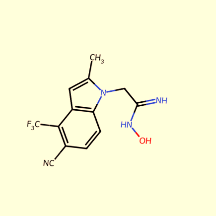 Cc1cc2c(C(F)(F)F)c(C#N)ccc2n1CC(=N)NO